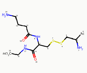 CC(=O)C(N)CSSCC(NC(=O)CCCN)C(=O)NCC(=O)O